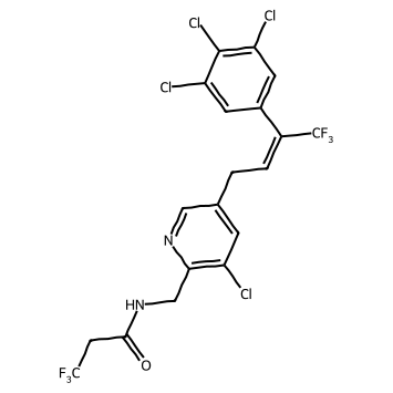 O=C(CC(F)(F)F)NCc1ncc(CC=C(c2cc(Cl)c(Cl)c(Cl)c2)C(F)(F)F)cc1Cl